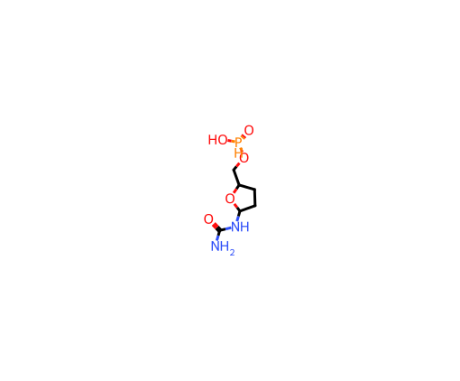 NC(=O)NC1CCC(CO[PH](=O)O)O1